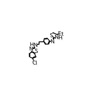 CCC1CS/C(=N\c2ccc(CCNc3nc4ccc(Cl)cc4s3)cc2)N1